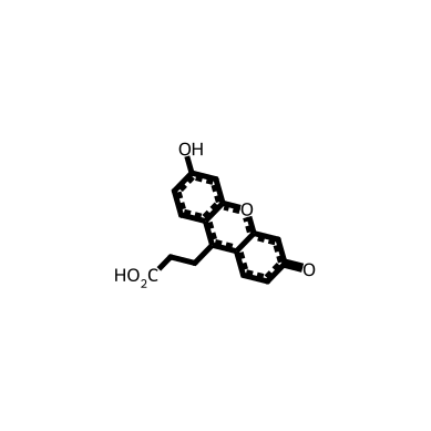 O=C(O)CCc1c2ccc(=O)cc-2oc2cc(O)ccc12